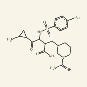 CC(C)(C)c1ccc(S(=O)(=O)NC(C(=O)C2CC2N)C(CC2CCCN(C(=N)N)C2)C(N)=O)cc1